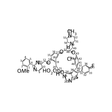 COc1ccccc1-c1nccc(COc2ccc3cc2C[C@H](C(=O)O)Oc2ncnc4sc(-c5ccc(F)cc5)c(c24)-c2ccc(c(Cl)c2)O[C@H](CN2CCN(C)CC2)CO3)n1